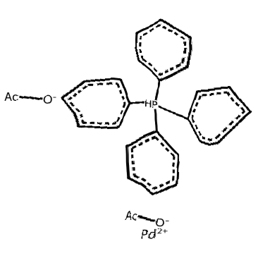 CC(=O)[O-].CC(=O)[O-].[Pd+2].c1ccc([PH](c2ccccc2)(c2ccccc2)c2ccccc2)cc1